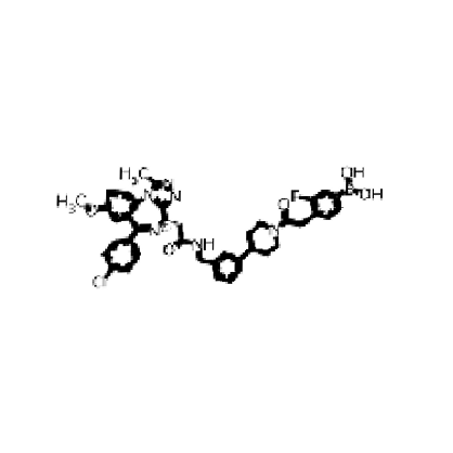 COc1ccc2c(c1)C(c1ccc(Cl)cc1)=N[C@@H](CC(=O)NCc1cccc(C3CCN(C(=O)Cc4ccc(B(O)O)cc4F)CC3)c1)c1nnc(C)n1-2